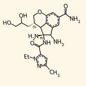 CCn1nc(C)cc1C(=O)N[C@@]1(N)C(N)c2cc(C(N)=O)cc3c2C1[C@H](CC(O)CO)CO3